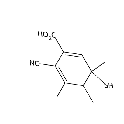 CC1=C(C#N)C(C(=O)O)=CC(C)(S)C1C